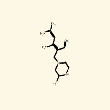 C=C/C(CN1CCNC(C)C1)=C(\C=C(C)C)C(F)(F)F